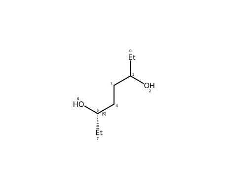 CCC(O)CC[C@@H](O)CC